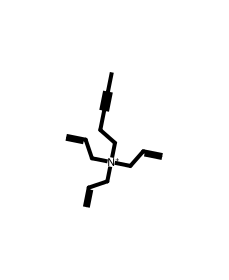 C=CC[N+](CC=C)(CC=C)CCC#CC